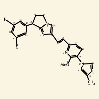 COc1nc(/C=C/c2nc3n(n2)CCC3c2cc(F)cc(F)c2)ccc1-n1cnc(C)c1